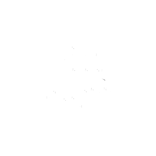 CN(C)c1nn(C)c2ccc(Nc3nc(N[C@@H](CN)Cn4cccn4)c(F)cc3C(N)=O)cc12